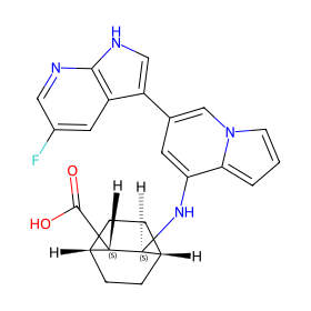 O=C(O)[C@H]1[C@H]2CC[C@H](CC2)[C@@H]1Nc1cc(-c2c[nH]c3ncc(F)cc23)cn2cccc12